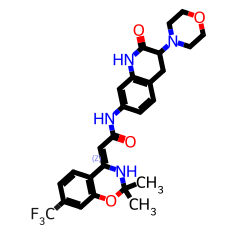 CC1(C)N/C(=C\C(=O)Nc2ccc3c(c2)NC(=O)C(N2CCOCC2)C3)c2ccc(C(F)(F)F)cc2O1